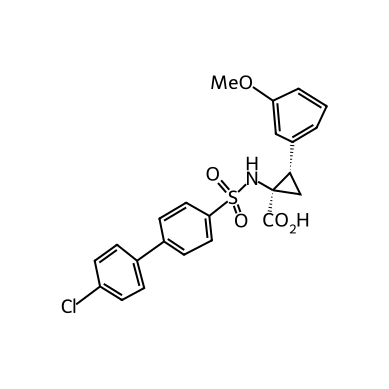 COc1cccc([C@@H]2C[C@]2(NS(=O)(=O)c2ccc(-c3ccc(Cl)cc3)cc2)C(=O)O)c1